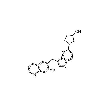 OC1CCN(c2ccc3ncc(Cc4cc5cccnc5cc4F)n3n2)C1